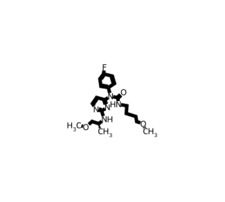 COCCCCNC(=O)N(c1ccc(F)cc1)c1ccnc(N[C@@H](C)COC)n1